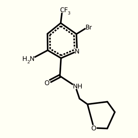 Nc1cc(C(F)(F)F)c(Br)nc1C(=O)NCC1CCCO1